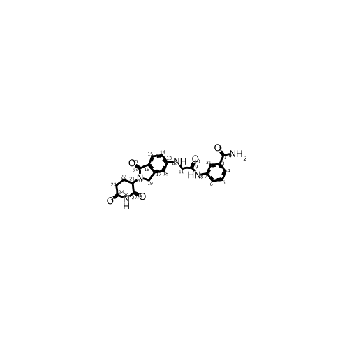 NC(=O)c1cccc(NC(=O)CNc2ccc3c(c2)CN(C2CCC(=O)NC2=O)C3=O)c1